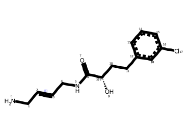 NC/C=C/CNC(=O)[C@@H](O)CCc1cccc(Cl)c1